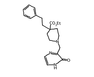 CCOC(=O)C1(CCc2ccccc2)CCN(Cc2ncc[nH]c2=O)CC1